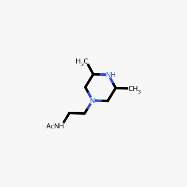 CC(=O)NCCN1CC(C)NC(C)C1